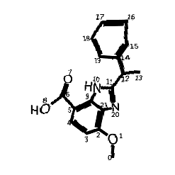 COc1ccc(C(=O)O)c2[nH]c(C(C)c3ccccc3)nc12